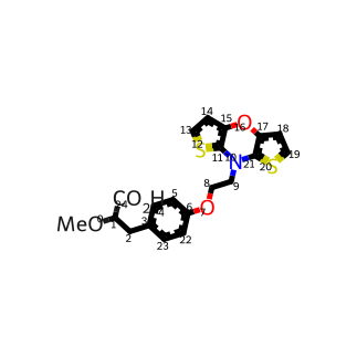 COC(Cc1ccc(OCCN2c3sccc3Oc3ccsc32)cc1)C(=O)O